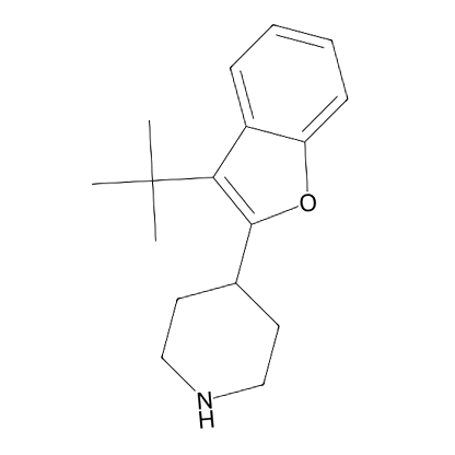 CC(C)(C)c1c(C2CCNCC2)oc2ccccc12